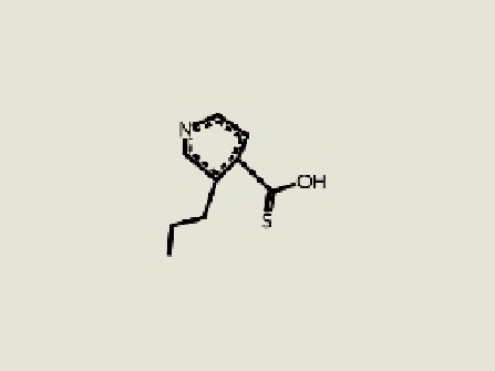 CCCc1cnccc1C(O)=S